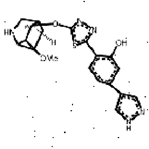 COC1C2CCC(CN2)[C@H]1Oc1nnc(-c2ccc(-c3cn[nH]c3)cc2O)s1